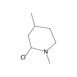 CC1CCN(C)C(Cl)C1